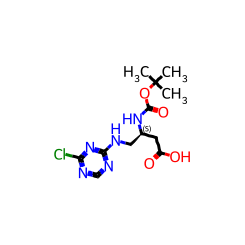 CC(C)(C)OC(=O)N[C@H](CNc1ncnc(Cl)n1)CC(=O)O